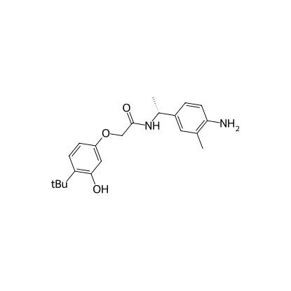 Cc1cc([C@@H](C)NC(=O)COc2ccc(C(C)(C)C)c(O)c2)ccc1N